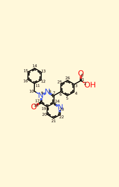 O=C(O)c1ccc(-c2nn(Cc3ccccc3)c(=O)c3cccnc23)cc1